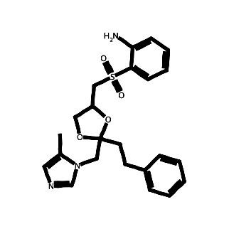 Cc1cncn1CC1(CCc2ccccc2)OCC(CS(=O)(=O)c2ccccc2N)O1